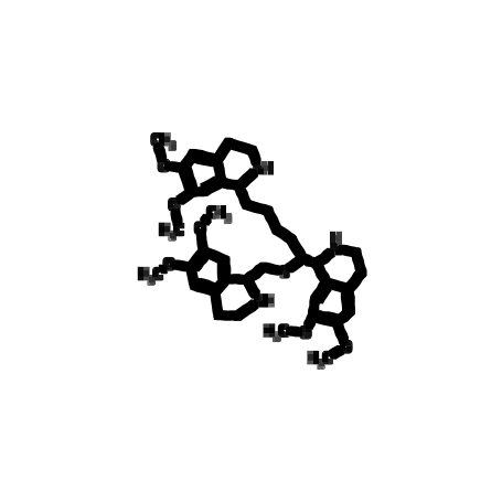 COc1cc2c(cc1OC)C(CCCCC(SCC1NCCc3cc(OC)c(OC)cc31)C1NCCc3cc(OC)c(OC)cc31)NCC2